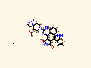 CCC1(NC)CCN(c2nc(C3=C(c4c[nH]c5sccc45)C(=O)NC3=O)c3ccccc3n2)CC1OC